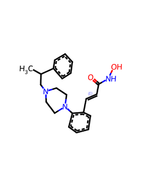 CC(CN1CCN(c2ccccc2/C=C/C(=O)NO)CC1)c1ccccc1